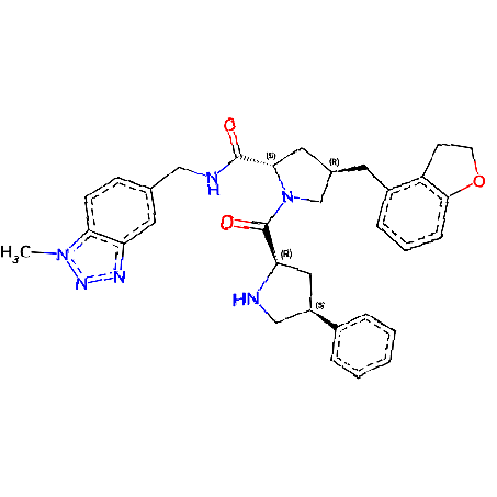 Cn1nnc2cc(CNC(=O)[C@@H]3C[C@@H](Cc4cccc5c4CCO5)CN3C(=O)[C@H]3C[C@@H](c4ccccc4)CN3)ccc21